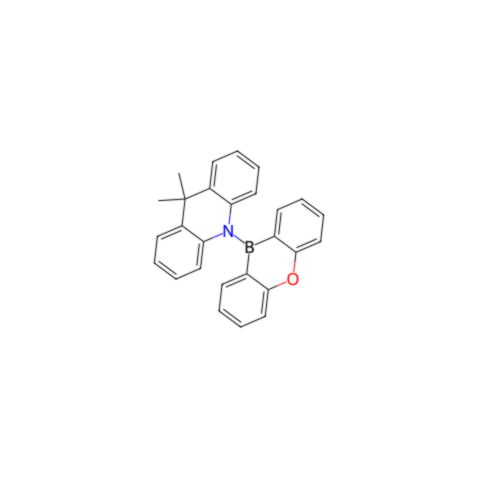 CC1(C)c2ccccc2N(B2c3ccccc3Oc3ccccc32)c2ccccc21